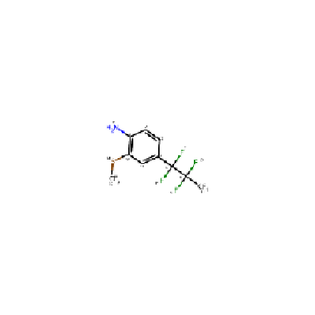 Nc1ccc(C(F)(F)C(F)(F)C(F)(F)F)cc1SC(F)(F)F